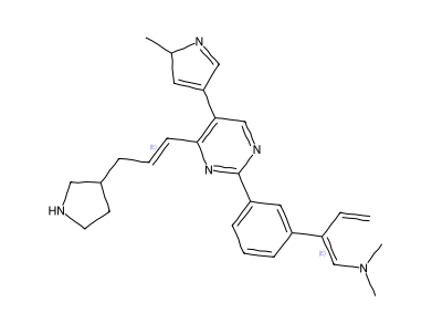 C=C/C(=C\N(C)C)c1cccc(-c2ncc(C3=CC(C)N=C3)c(/C=C/CC3CCNC3)n2)c1